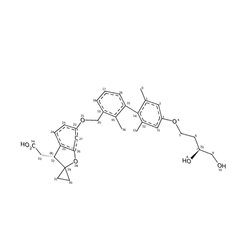 Cc1cc(OCC[C@H](O)CO)cc(C)c1-c1cccc(COc2ccc3c(c2)OC2(CC2)[C@@H]3CC(=O)O)c1C